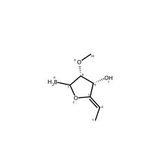 BC1OC(=CC)[C@@H](O)[C@H]1OC